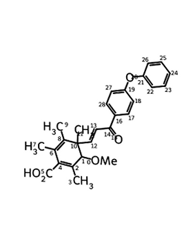 COC1C(C)=C(C(=O)O)C(C)=C(C)C1(C)C=CC(=O)c1ccc(Oc2ccccc2)cc1